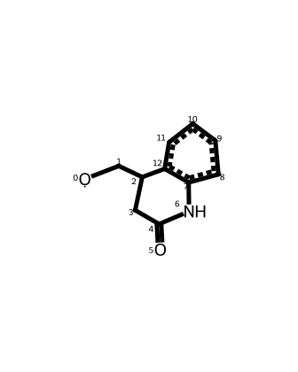 [O]CC1CC(=O)Nc2ccccc21